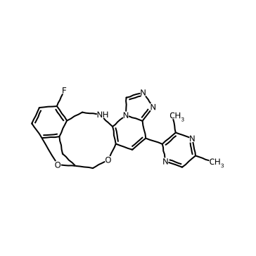 Cc1cnc(-c2cc3c(n4cnnc24)NCc2c(F)ccc4c2CC(CO3)O4)c(C)n1